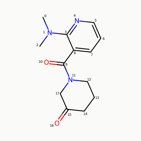 CN(C)c1ncccc1C(=O)N1CCCC(=O)C1